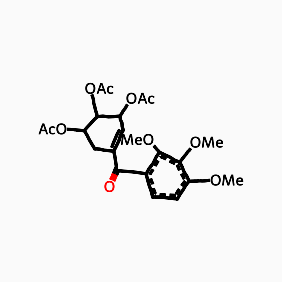 COc1ccc(C(=O)C2=CC(OC(C)=O)C(OC(C)=O)C(OC(C)=O)C2)c(OC)c1OC